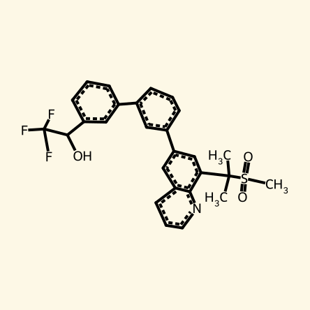 CC(C)(c1cc(-c2cccc(-c3cccc(C(O)C(F)(F)F)c3)c2)cc2cccnc12)S(C)(=O)=O